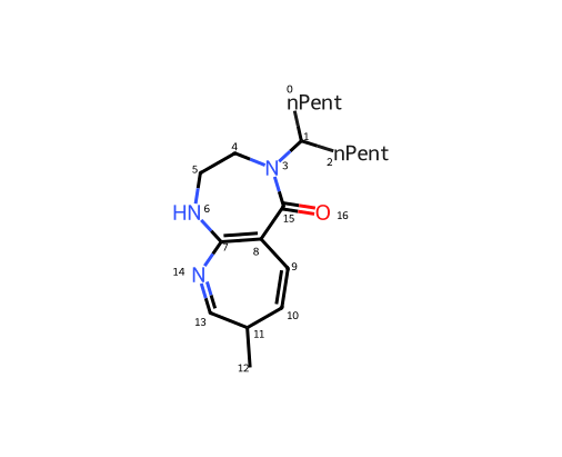 CCCCCC(CCCCC)N1CCNC2=C(C=CC(C)C=N2)C1=O